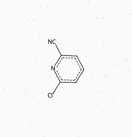 N#Cc1cc[c]c(Cl)n1